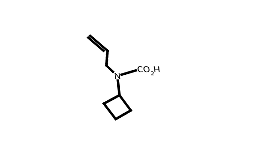 C=CCN(C(=O)O)C1CCC1